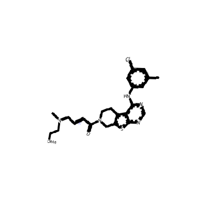 COCCN(C)C/C=C/C(=O)N1CCc2c(sc3ncnc(Nc4cc(C)cc(Cl)c4)c23)C1